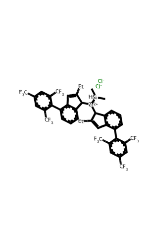 CCC1=Cc2c(-c3c(C(F)(F)F)cc(C(F)(F)F)cc3C(F)(F)F)cccc2[CH]1[Zr+2]([CH]1C(CC)=Cc2c(-c3c(C(F)(F)F)cc(C(F)(F)F)cc3C(F)(F)F)cccc21)[SiH](C)C.[Cl-].[Cl-]